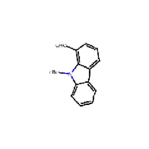 CCCCn1c2ccccc2c2cccc(C=O)c21